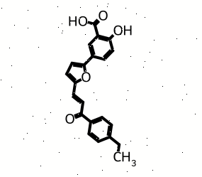 CCc1ccc(C(=O)C=Cc2ccc(-c3ccc(O)c(C(=O)O)c3)o2)cc1